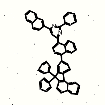 c1ccc(-c2nc(-c3ccc4ccccc4c3)cc(-c3ccc(-c4ccc5c(c4)C(c4ccccc4)(c4ccccc4)c4ccc6ccccc6c4-5)c4ccccc34)n2)cc1